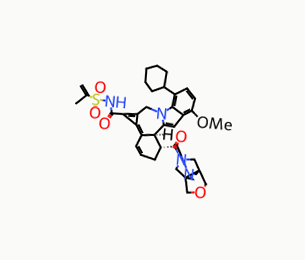 C=C(C)S(=O)(=O)NC(=O)C1=C2Cn3c(cc4c(OC)ccc(C5CCCCC5)c43)[C@@H]3C(=C21)C=CC[C@H]3C(=O)N1CC23COCC2(CN(C)C3)C1